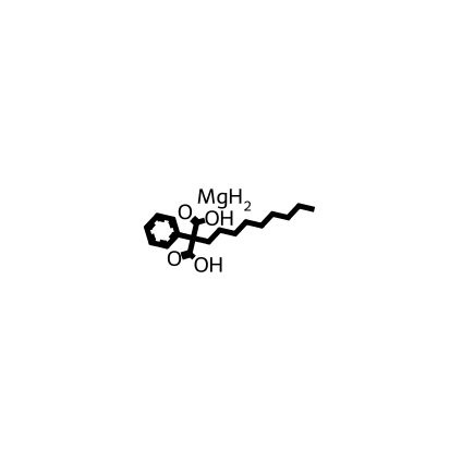 CCCCCCCCCC(C(=O)O)(C(=O)O)c1ccccc1.[MgH2]